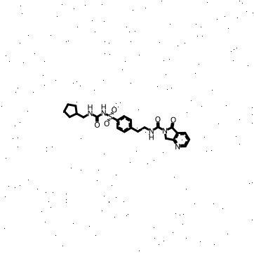 O=C(NCC1CCCC1)NS(=O)(=O)c1ccc(CCNC(=O)N2Cc3ncccc3C2=O)cc1